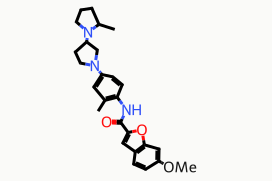 COc1ccc2cc(C(=O)Nc3ccc(N4CCC(N5CCCC5C)C4)cc3C)oc2c1